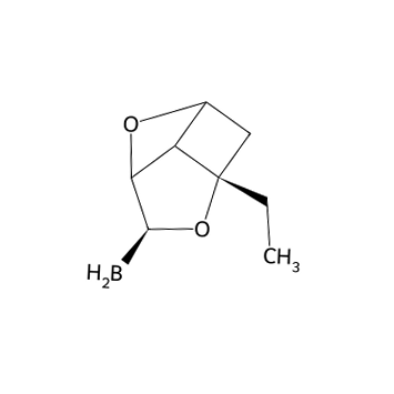 B[C@@H]1O[C@@]2(CC)CC3OC1C32